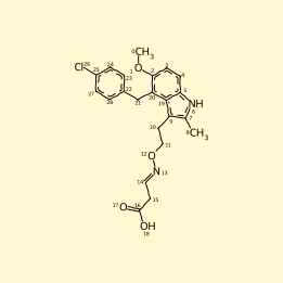 COc1ccc2[nH]c(C)c(CCON=CCC(=O)O)c2c1Cc1ccc(Cl)cc1